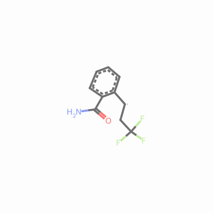 NC(=O)c1ccccc1[CH]CC(F)(F)F